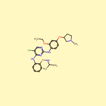 CCOc1cc(OC2CCN(C)C2)ccc1Nc1ncc(Cl)c(Nc2ccccc2SNC(C)C)n1